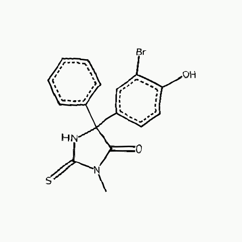 CN1C(=O)C(c2ccccc2)(c2ccc(O)c(Br)c2)NC1=S